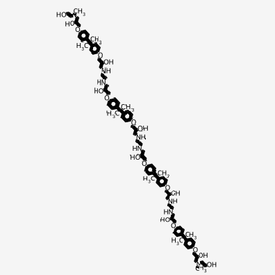 CN(CCO)CC(O)COC1CCC(C(C)(C)C2CCC(OCC(O)CNCCNCC(O)COC3CCC(C(C)(C)C4CCC(OCC(O)CNCCNCC(O)COC5CCC(C(C)(C)C6CCC(OCC(O)CNCCNCC(O)COC7CCC(C(C)(C)C8CCC(OCC(O)CN(C)CCO)CC8)CC7)CC6)CC5)CC4)CC3)CC2)CC1